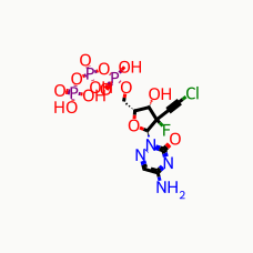 Nc1cnn([C@@H]2O[C@H](COP(=O)(O)OP(=O)(O)OP(=O)(O)O)[C@H](O)C2(F)C#CCl)c(=O)n1